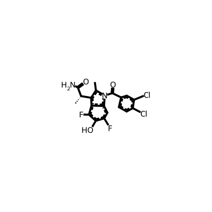 Cc1c([C@H](C)C(N)=O)c2c(F)c(O)c(F)cc2n1C(=O)c1ccc(Cl)c(Cl)c1